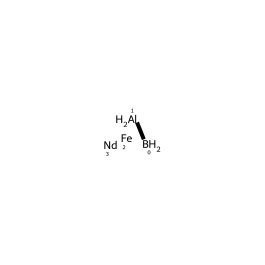 [BH2][AlH2].[Fe].[Nd]